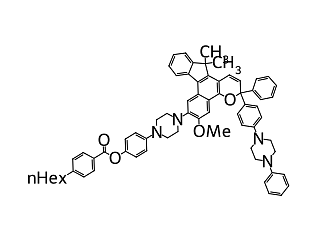 CCCCCCc1ccc(C(=O)Oc2ccc(N3CCN(c4cc5c6c(c7c(c5cc4OC)OC(c4ccccc4)(c4ccc(N5CCN(c8ccccc8)CC5)cc4)C=C7)C(C)(C)c4ccccc4-6)CC3)cc2)cc1